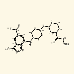 CC(C)c1cnc2c(NC3CCN(CC4CN(C(=O)OC(C)(C)C)CCO4)CC3)cc(C(C)F)cn12